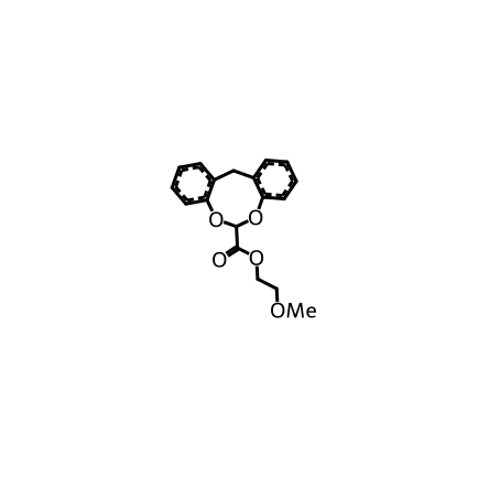 COCCOC(=O)C1Oc2ccccc2Cc2ccccc2O1